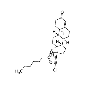 CCCCCCC(=O)O[C@@]1(C#CCl)CC[C@H]2[C@@H]3CCC4=CC(=O)CC[C@@H]4[C@H]3CC[C@@]21CC